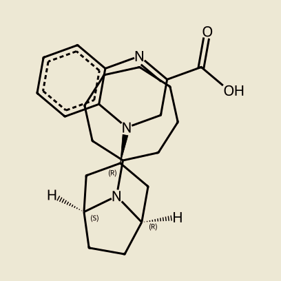 O=C(O)C1=Nc2ccccc2N([C@H]2C[C@H]3CC[C@@H](C2)N3C2CCCCCCC2)C1